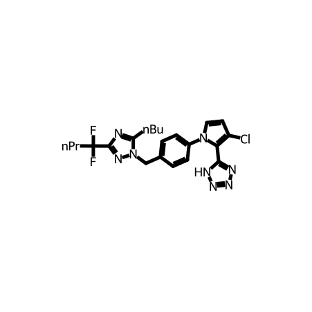 CCCCc1nc(C(F)(F)CCC)nn1Cc1ccc(-n2ccc(Cl)c2-c2nnn[nH]2)cc1